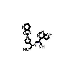 N#CCC(N/C=C(\C=N)c1ncnc2[nH]ccc12)C1CCN(c2nc3cccnc3o2)C1